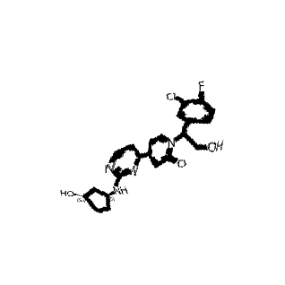 O=c1cc(-c2ccnc(N[C@H]3CC[C@H](O)C3)n2)ccn1C(CO)c1ccc(F)c(Cl)c1